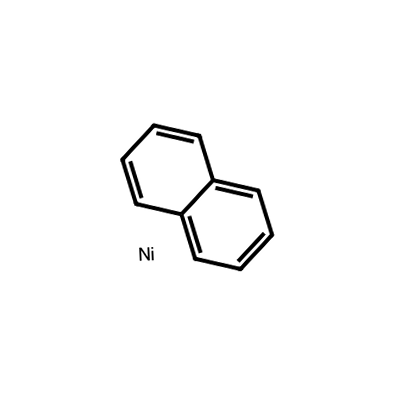 [Ni].c1ccc2ccccc2c1